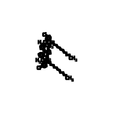 CCCCCCCCCCCCN1/C(=C/C=C2\CCC(/C=C/C3=[N+](CCCCCCCCCCCC)c4ccc(Cl)cc4C3(C)C)=C2N(c2ccccc2)c2ccccc2)C(C)(C)c2cc(Cl)ccc21